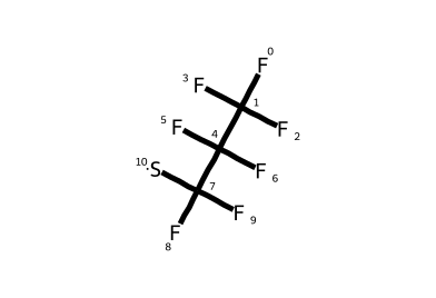 FC(F)(F)C(F)(F)C(F)(F)[S]